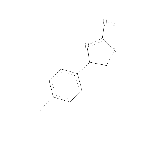 NC1=NC(c2ccc(F)cc2)CS1